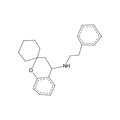 c1ccc(CCNC2CC3(CCCCC3)Oc3ccccc32)cc1